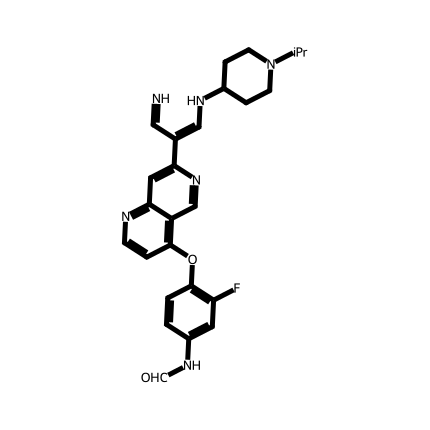 CC(C)N1CCC(N/C=C(\C=N)c2cc3nccc(Oc4ccc(NC=O)cc4F)c3cn2)CC1